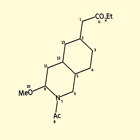 CCOC(=O)CC1CCC2CN(C(C)=O)C(OC)CC2C1